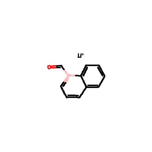 O=C[b-]1cccc2ccccc12.[Li+]